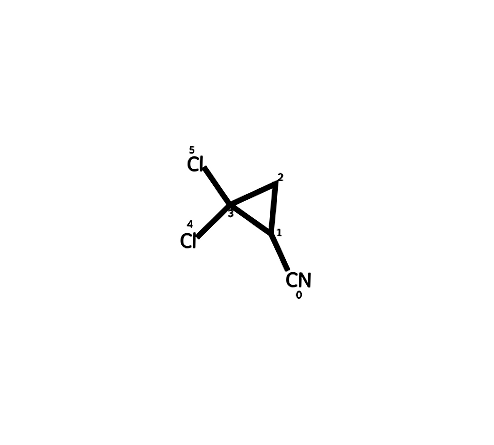 N#CC1CC1(Cl)Cl